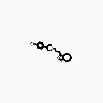 Clc1ccc(C2CCN(CCCc3onc4c3CCCCC4)CC2)cc1